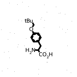 CC(C)(C)COc1ccc(CC(N)C(=O)O)cc1